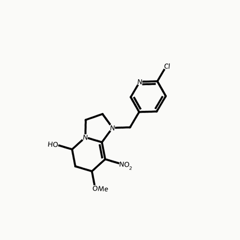 COC1CC(O)N2CCN(Cc3ccc(Cl)nc3)C2=C1[N+](=O)[O-]